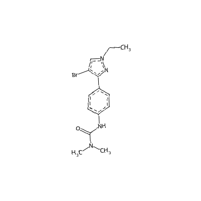 CCn1cc(Br)c(-c2ccc(NC(=O)N(C)C)cc2)n1